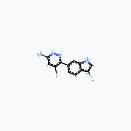 CCc1cc(N)nnc1-c1ccc2c(F)c[nH]c2c1